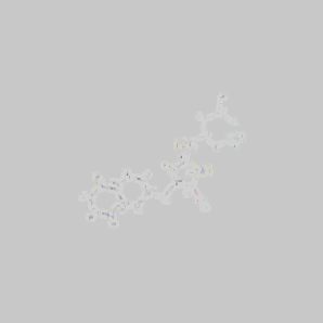 CC(C)C[C@H](CO)NC1=N/C(=C\c2ccc3nccnc3c2)C(=O)N1